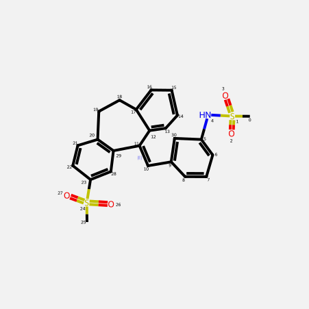 CS(=O)(=O)Nc1cccc(/C=C2\c3ccccc3CCc3ccc(S(C)(=O)=O)cc32)c1